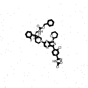 O=C(NC[C@]1(c2ccccc2F)[C@@H]2CCN(c3cnc4c(-c5ccc(-c6noc(=O)[nH]6)cc5Cl)nn(C5CCCCO5)c4n3)C[C@@H]21)OCc1ccccc1